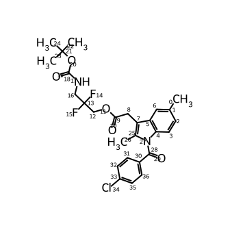 Cc1ccc2c(c1)c(CC(=O)OCC(F)(F)CNC(=O)OC(C)(C)C)c(C)n2C(=O)c1ccc(Cl)cc1